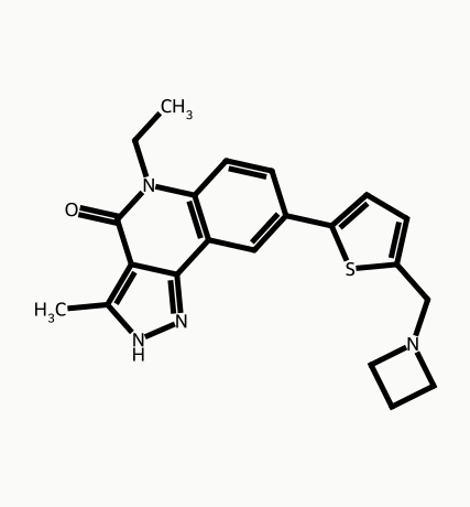 CCn1c(=O)c2c(C)[nH]nc2c2cc(-c3ccc(CN4CCC4)s3)ccc21